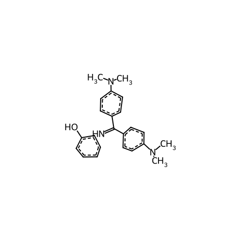 CN(C)c1ccc(C(=N)c2ccc(N(C)C)cc2)cc1.Oc1ccccc1